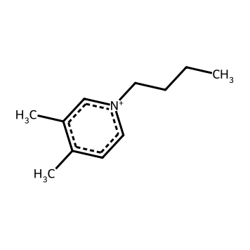 CCCC[n+]1ccc(C)c(C)c1